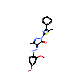 COc1ccc(N/N=C2/C(=O)N(c3nc(-c4ccccc4)c(C)s3)N=C2C)c(OC)c1